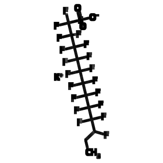 CCC(F)C(F)(F)C(F)(F)C(F)(F)C(F)(F)C(F)(F)C(F)(F)C(F)(F)C(F)(F)C(F)(F)S(=O)(=O)[O-].[K+]